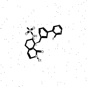 CCn1ccc2c(c1=O)[C@H](Cc1cccc(-c3ccccc3F)c1)[C@H](NS(C)(=O)=O)CC2